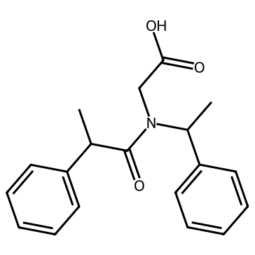 CC(C(=O)N(CC(=O)O)C(C)c1ccccc1)c1ccccc1